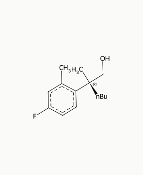 CCCC[C@@](C)(CO)c1ccc(F)cc1C